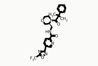 CC(C)(C(=O)N1CCOC[C@@H]1CNC(=O)c1ccc(-c2noc(C(F)(F)F)n2)cn1)c1ccccc1